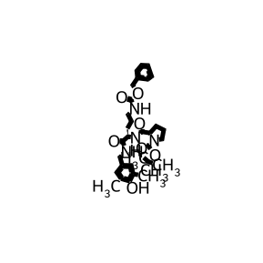 Cc1cc(CNC(=O)[C@H](CCCNC(=O)OCc2ccccc2)NC(=O)C2CCCN2C(=O)OC(C)(C)C)cc(C)c1O